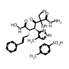 CCCC(CC(C)C)(C(=O)NN)C(=O)[C@@H](c1n[nH]cc1C)[C@H](C/C=C/c1ccccc1)C(=O)NO.Cc1ccc(S(=O)(=O)O)cc1